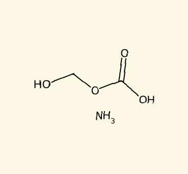 N.O=C(O)OCO